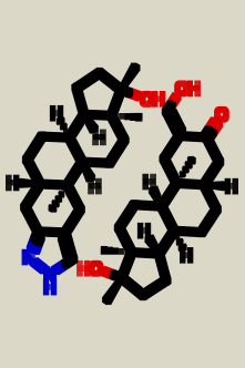 C[C@]12C/C(=C/O)C(=O)C[C@@H]1CC[C@@H]1[C@@H]2CC[C@@]2(C)[C@H]1CC[C@]2(C)O.C[C@]12Cc3c[nH]nc3C[C@@H]1CC[C@@H]1[C@@H]2CC[C@@]2(C)[C@H]1CC[C@]2(C)O